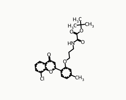 Cc1ccc(-c2cc(=O)c3cccc(Cl)c3o2)c(OCCCNC(=O)C(=O)OC(C)(C)C)c1